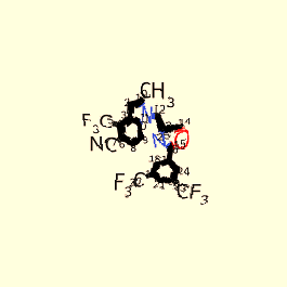 Cc1cc2c(C(F)(F)F)c(C#N)ccc2n1Cc1coc(-c2cc(C(F)(F)F)cc(C(F)(F)F)c2)n1